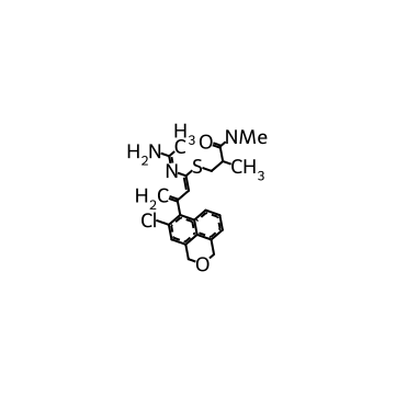 C=C(/C=C(\N=C(/C)N)SCC(C)C(=O)NC)c1c(Cl)cc2c3c(cccc13)COC2